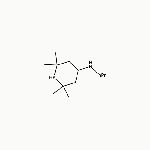 CCCNC1CC(C)(C)PC(C)(C)C1